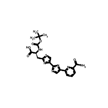 CC(C)(C)OC(=O)N[C@@H](Cc1nc(-c2nc(-c3cccc(C(N)=O)n3)cs2)cs1)C(=O)O